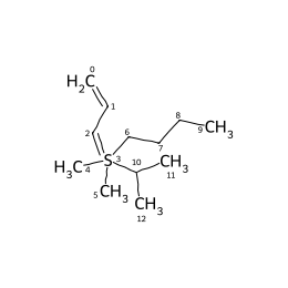 C=CC=S(C)(C)(CCCC)C(C)C